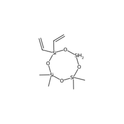 C=C[Si]1(C=C)O[SiH2]O[Si](C)(C)O[Si](C)(C)O1